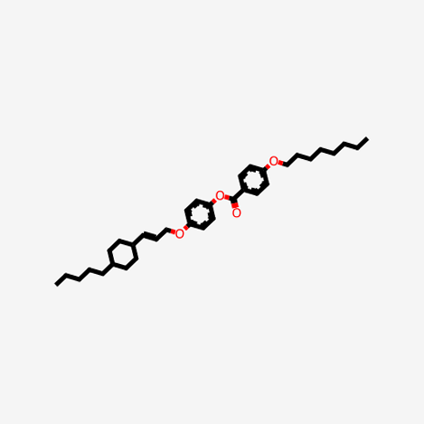 CCCCCCCCOc1ccc(C(=O)Oc2ccc(OCC=CC3CCC(CCCCC)CC3)cc2)cc1